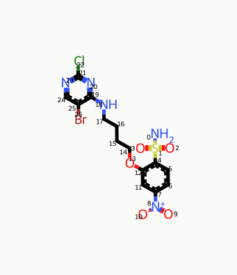 NS(=O)(=O)c1ccc([N+](=O)[O-])cc1OCCCCNc1nc(Cl)ncc1Br